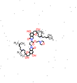 CC(C)=CCC/C(C)=C/CC[C@@]1(C)Oc2c(c(O)cc3c2CN(CCC[C@@H](C(=O)OCCN2CCOCC2)N2Cc4c(cc(O)c5c4O[C@](C)(CC/C=C(\C)CCC=C(C)C)[C@@H](O)C5)C2=O)C3=O)C[C@@H]1O